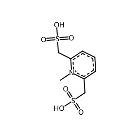 C[n+]1c(CS(=O)(=O)O)cccc1CS(=O)(=O)O